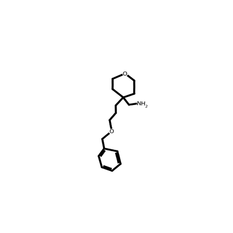 NCC1(CCCOCc2ccccc2)CCOCC1